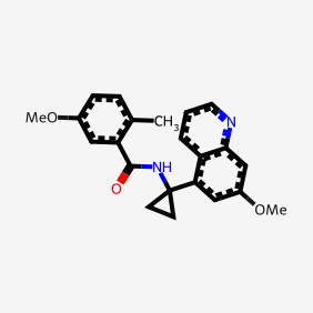 COc1ccc(C)c(C(=O)NC2(c3cc(OC)cc4ncccc34)CC2)c1